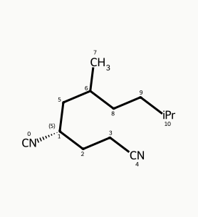 [C-]#[N+][C@@H](CCC#N)CC(C)CCC(C)C